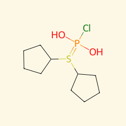 OP(O)(Cl)=S(C1CCCC1)C1CCCC1